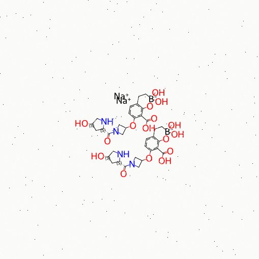 O=C(O)c1c(OC2CN(C(=O)[C@@H]3C[C@H](O)CN3)C2)ccc2c1O[B-](O)(O)CC2.O=C(O)c1c(OC2CN(C(=O)[C@@H]3C[C@H](O)CN3)C2)ccc2c1O[B-](O)(O)CC2.[Na+].[Na+]